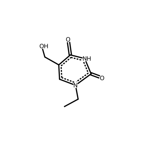 CCn1cc(CO)c(=O)[nH]c1=O